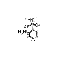 CN(C)S(=O)(=O)c1ccncc1N